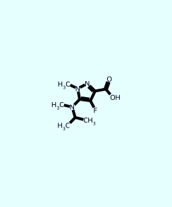 CC(C)N(C)c1c(F)c(C(=O)O)nn1C